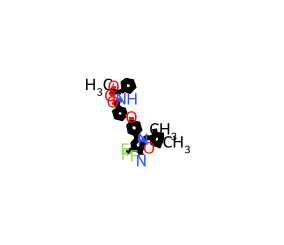 COC(=O)C(NC(=O)c1cccc(Oc2ccc(-c3cc(C(F)(F)F)c(C#N)c(=O)n3Cc3ccc(C)cc3C)cc2)c1)c1ccccc1